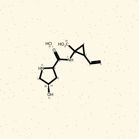 C=CC1CC1(NC(=O)C1C[C@@H](O)CN1)C(=O)O.Cl